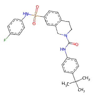 CC(C)(C)c1ccc(NC(=O)N2CCc3ccc(S(=O)(=O)Nc4ccc(F)cc4)cc3C2)cc1